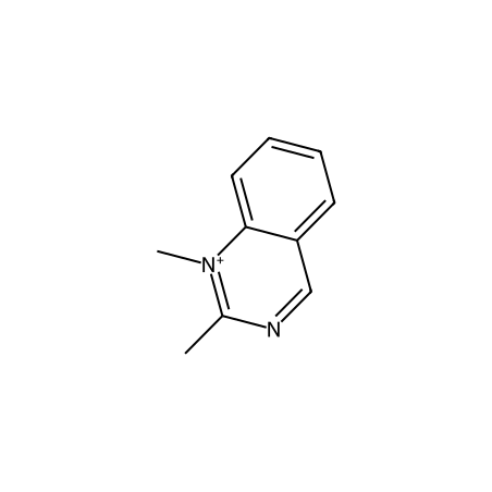 Cc1ncc2ccccc2[n+]1C